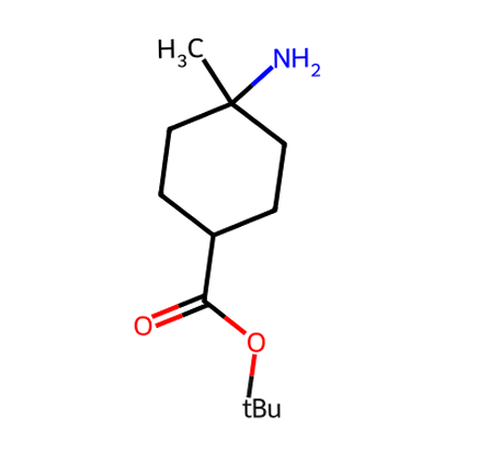 CC1(N)CCC(C(=O)OC(C)(C)C)CC1